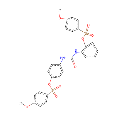 CCOc1ccc(S(=O)(=O)Oc2ccc(NC(=O)Nc3ccccc3OS(=O)(=O)c3ccc(OCC)cc3)cc2)cc1